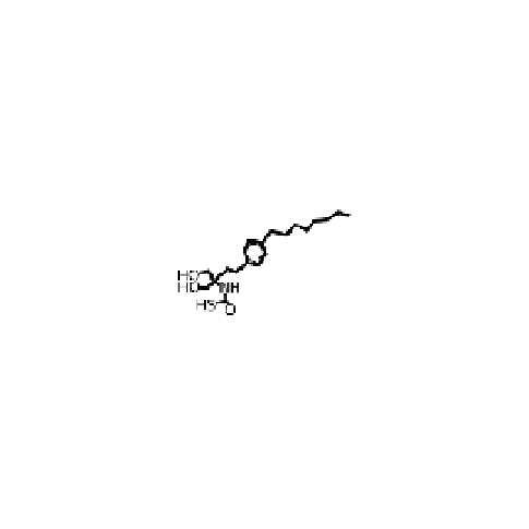 CCCCCCCCc1ccc(CCC(CO)(CO)NC(=O)S)cc1